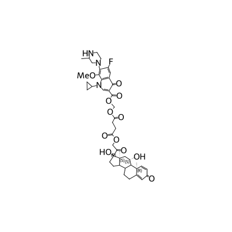 COc1c(N2CCNC(C)C2)c(F)cc2c(=O)c(C(=O)OCOC(=O)CCC(=O)OCC(=O)[C@@]3(O)CCC4C5CCC6=CC(=O)C=C[C@]6(C)C5[C@@H](O)C[C@@]43C)cn(C3CC3)c12